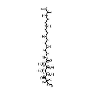 CCC(C)NCCNCCNCCNCCNC(=O)[C@H](O)[C@@H](O)[C@H](O)[C@H](O)C(=O)C(C)(C)OC